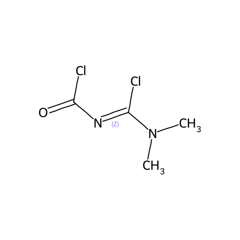 CN(C)/C(Cl)=N/C(=O)Cl